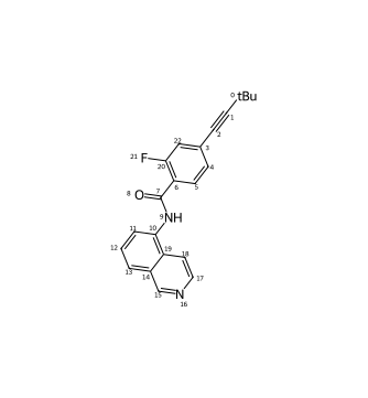 CC(C)(C)C#Cc1ccc(C(=O)Nc2cccc3cnccc23)c(F)c1